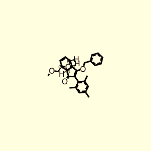 COC[C@@]12C=C[C@@H](O1)[C@H]1C(OCc3ccccc3)=C(c3c(C)cc(C)cc3C)C(=O)[C@H]12